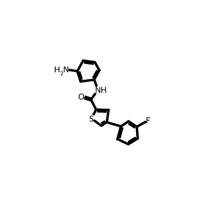 Nc1cccc(NC(=O)c2cc(-c3cccc(F)c3)cs2)c1